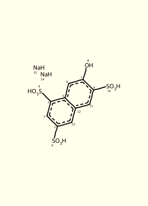 O=S(=O)(O)c1cc(S(=O)(=O)O)c2cc(O)c(S(=O)(=O)O)cc2c1.[NaH].[NaH]